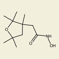 CC1(C)CC(C)(CC(=O)NO)C(C)(C)O1